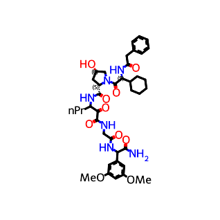 CCCC(NC(=O)[C@@H]1C[C@@H](O)CN1C(=O)[C@@H](NC(=O)Cc1ccccc1)C1CCCCC1)C(=O)C(=O)NCC(=O)NC(C(N)=O)c1cc(OC)cc(OC)c1